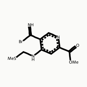 COC(=O)c1cc(NCSC)c(C(=N)Br)cn1